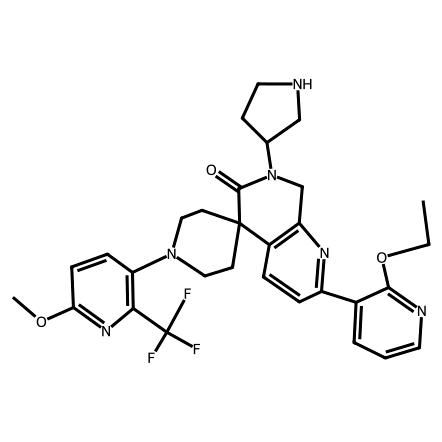 CCOc1ncccc1-c1ccc2c(n1)CN(C1CCNC1)C(=O)C21CCN(c2ccc(OC)nc2C(F)(F)F)CC1